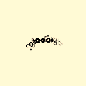 CC(C)(C)OC(=O)N1CCC(N2CC=C(c3ccc4c(c3F)CN(C3CCC(=O)NC3=O)C4=O)CC2)C(F)(F)C1